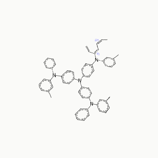 C=C/C(=C\C=C/C)N(c1ccc(N(c2ccc(N(c3ccccc3)c3cccc(C)c3)cc2)c2ccc(N(c3ccccc3)c3cccc(C)c3)cc2)cc1)c1cccc(C)c1